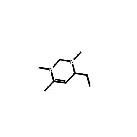 CCC1C=C(C)N(C)CN1C